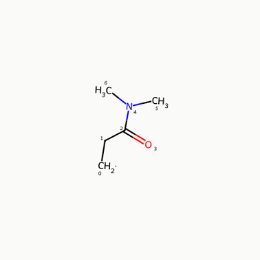 [CH2]CC(=O)N(C)C